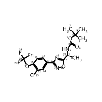 C[C@H](NC(=O)OC(C)(C)C)c1nc(-c2ccc(OC(F)(F)F)c(Cl)c2)no1